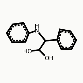 OC(O)C(Nc1ccccc1)c1ccccc1